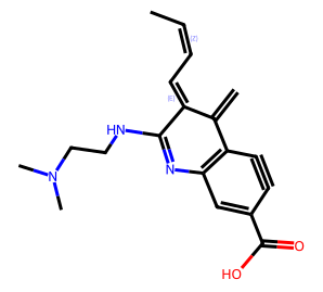 C=c1/c(=C\C=C/C)c(NCCN(C)C)nc2cc(C(=O)O)c#cc12